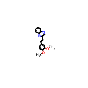 COc1ccc(C=Cc2[c]nc3ccccc3n2)cc1OC